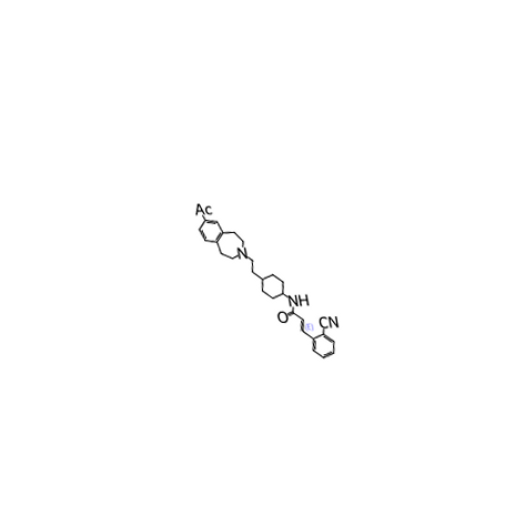 CC(=O)c1ccc2c(c1)CCN(CCC1CCC(NC(=O)/C=C/c3ccccc3C#N)CC1)CC2